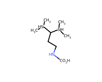 C[SiH](C)C(CCNC(=O)O)[SiH](C)C